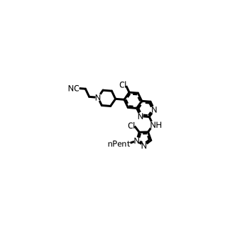 CCCCCn1ncc(Nc2ncc3cc(Cl)c(C4CCN(CCC#N)CC4)cc3n2)c1Cl